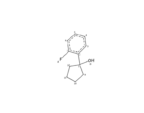 OC1(c2ccccc2F)CCCC1